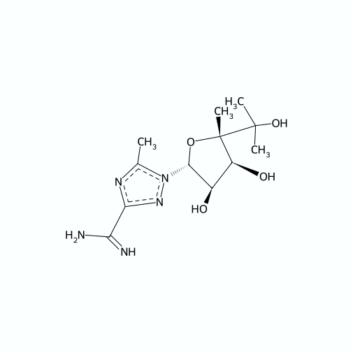 Cc1nc(C(=N)N)nn1[C@@H]1O[C@](C)(C(C)(C)O)[C@@H](O)[C@H]1O